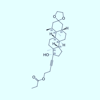 CCC(=O)OCCC#C[C@]1(O)CC[C@H]2[C@@H]3CC[C@H]4CC5(C[C@H](C)[C@]4(C)[C@H]3CC[C@@]21C)OCCO5